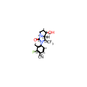 Cc1c(N2C(=O)N3CC[C@@H](O)[C@H]3[C@H]2C(F)(F)F)ccc(C#N)c1F